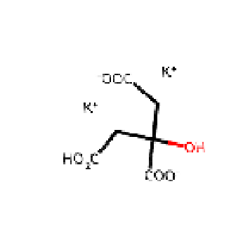 O=C([O-])CC(O)(CC(=O)O)C(=O)[O-].[K+].[K+]